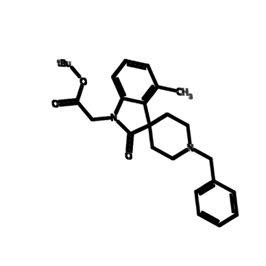 Cc1cccc2c1C1(CCN(Cc3ccccc3)CC1)C(=O)N2CC(=O)OC(C)(C)C